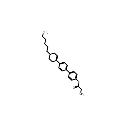 CCCCCCC1CC=C(c2ccc(-c3ccc(OC(=O)CC)cc3)cc2)CC1